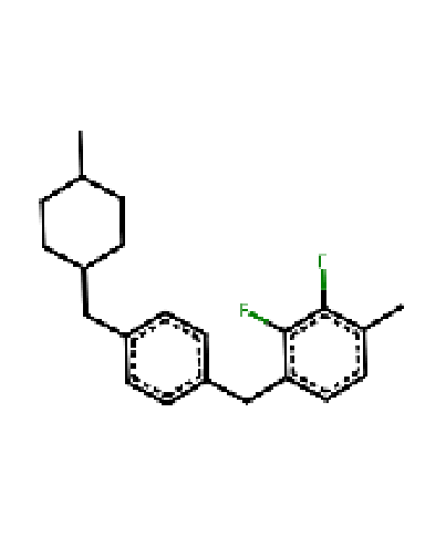 Cc1ccc(Cc2ccc(CC3CCC(C)CC3)cc2)c(F)c1F